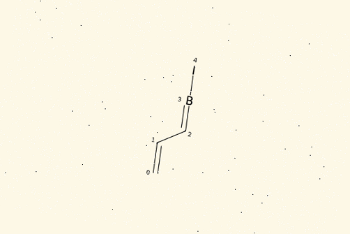 C=CC=BI